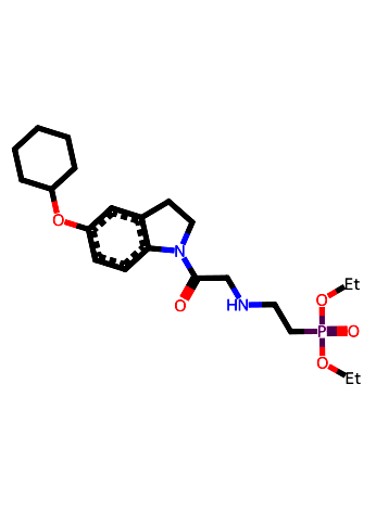 CCOP(=O)(CCNCC(=O)N1CCc2cc(OC3CCCCC3)ccc21)OCC